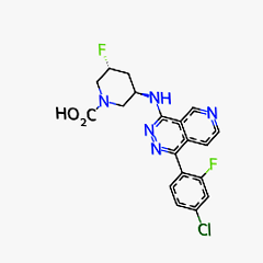 O=C(O)N1C[C@H](F)C[C@@H](Nc2nnc(-c3ccc(Cl)cc3F)c3ccncc23)C1